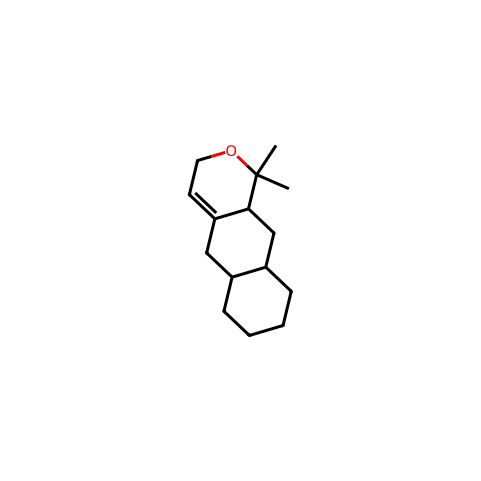 CC1(C)OCC=C2CC3CCCCC3CC21